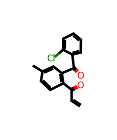 C=CC(=O)c1ccc(C)cc1C(=O)c1ccccc1Cl